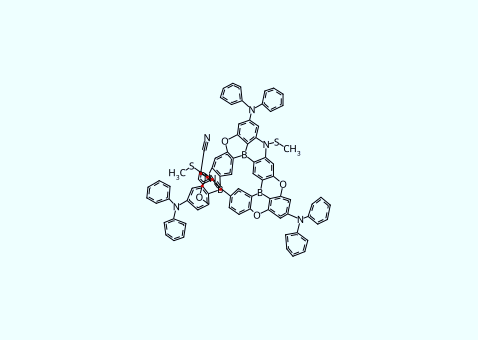 CSN1c2cc3c(cc2B2c4cc5c(cc4Oc4cc(N(c6ccccc6)c6ccccc6)cc1c42)N(SC)c1cc(N(c2ccccc2)c2ccccc2)cc2c1B5c1cc(C#N)ccc1O2)B1c2cc(C#N)ccc2Oc2cc(N(c4ccccc4)c4ccccc4)cc(c21)O3